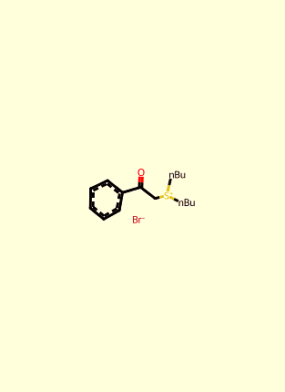 CCCC[S+](CCCC)CC(=O)c1ccccc1.[Br-]